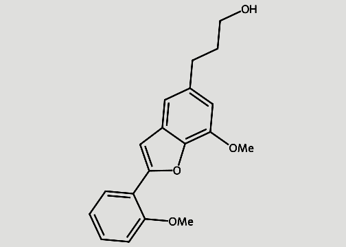 COc1ccccc1-c1cc2cc(CCCO)cc(OC)c2o1